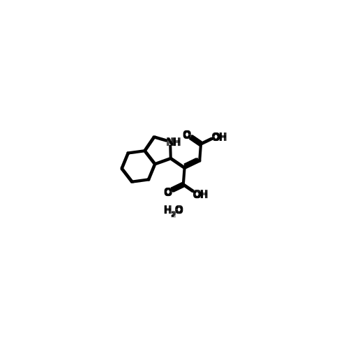 O.O=C(O)/C=C(/C(=O)O)C1NCC2CCCCC21